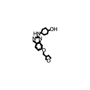 OC1CCC(Nc2ncc3ccc(OCC4CCOC4)cc3n2)CC1